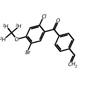 [2H]C([2H])([2H])Oc1cc(Cl)c(C(=O)c2ccc(C=C)cc2)cc1Br